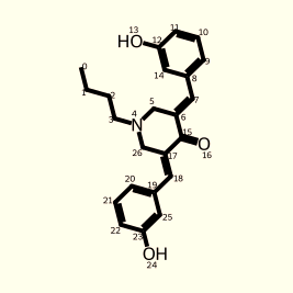 CCCCN1C/C(=C\c2cccc(O)c2)C(=O)/C(=C/c2cccc(O)c2)C1